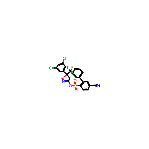 N#Cc1ccc(S(=O)(=O)OC2=NOC(c3cc(Cl)cc(Cl)c3)(C(F)(F)F)C2)c(-c2ccccc2)c1